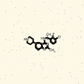 Cc1nc(N[C@H](C)c2cccc(Cl)c2F)c2cc(C3CCNCC3)ccc2n1